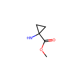 COC(=O)C1([NH])CC1